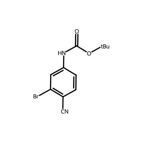 CC(C)(C)OC(=O)Nc1ccc(C#N)c(Br)c1